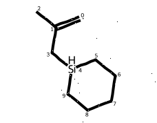 [CH]=C(C)C[SiH]1CCCCC1